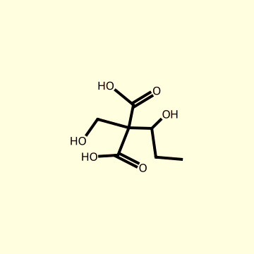 CCC(O)C(CO)(C(=O)O)C(=O)O